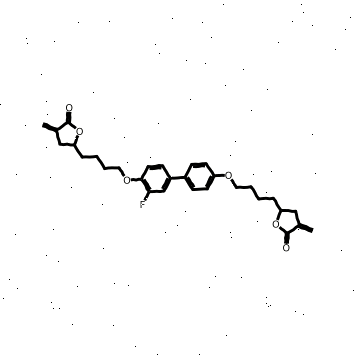 C=C1CC(CCCCOc2ccc(-c3ccc(OCCCCC4CC(=C)C(=O)O4)c(F)c3)cc2)OC1=O